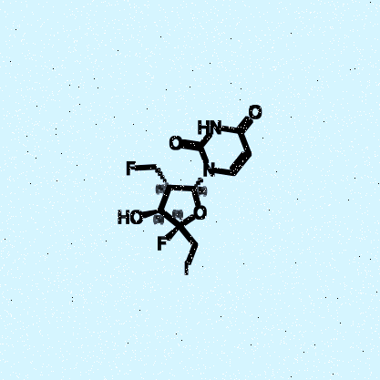 O=c1ccn([C@@H]2O[C@](F)(CI)[C@@H](O)[C@@H]2CF)c(=O)[nH]1